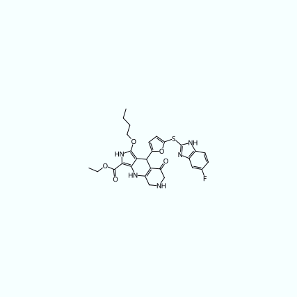 CCCCOc1[nH]c(C(=O)OCC)c2c1C(c1ccc(Sc3nc4cc(F)ccc4[nH]3)o1)C1=C(CNCC1=O)N2